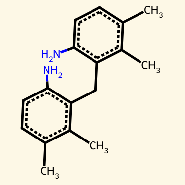 Cc1ccc(N)c(Cc2c(N)ccc(C)c2C)c1C